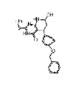 CCCSc1nc2c(c(=O)[nH]1)C(c1ccc(OCc3ccccc3)cc1)CC(O)N2